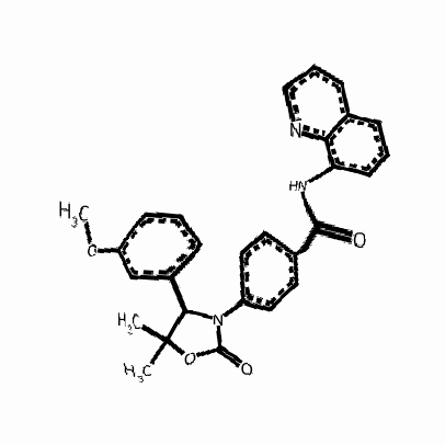 COc1cccc(C2N(c3ccc(C(=O)Nc4cccc5cccnc45)cc3)C(=O)OC2(C)C)c1